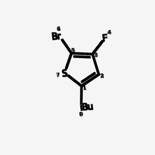 CCC(C)c1cc(F)c(Br)s1